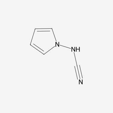 N#CNn1cccc1